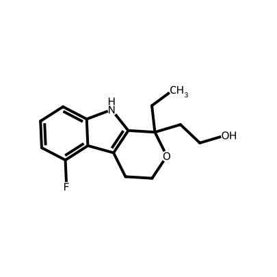 CCC1(CCO)OCCc2c1[nH]c1cccc(F)c21